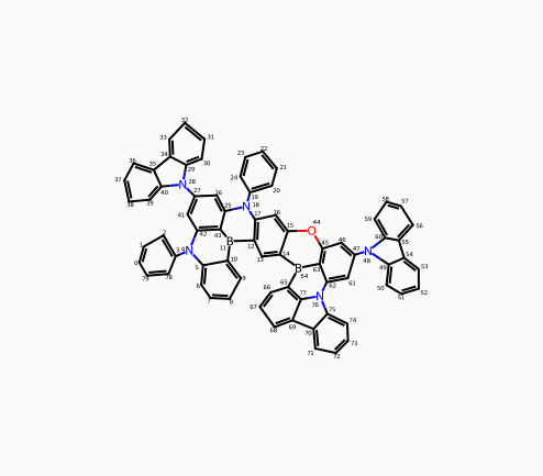 c1ccc(N2c3ccccc3B3c4cc5c(cc4N(c4ccccc4)c4cc(-n6c7ccccc7c7ccccc76)cc2c43)Oc2cc(-n3c4ccccc4c4ccccc43)cc3c2B5c2cccc4c5ccccc5n-3c24)cc1